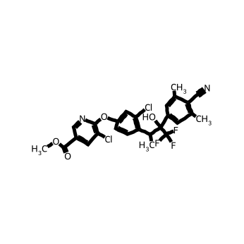 COC(=O)c1cnc(Oc2ccc(C(C)C(O)(c3cc(C)c(C#N)c(C)c3)C(F)(F)F)c(Cl)c2)c(Cl)c1